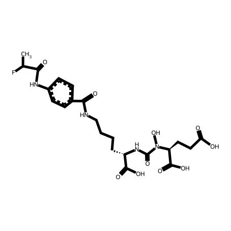 CC(F)C(=O)Nc1ccc(C(=O)NCCCC[C@H](NC(=O)N(O)[C@@H](CCC(=O)O)C(=O)O)C(=O)O)cc1